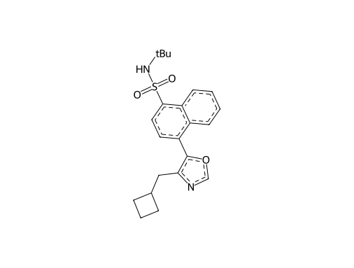 CC(C)(C)NS(=O)(=O)c1ccc(-c2ocnc2CC2CCC2)c2ccccc12